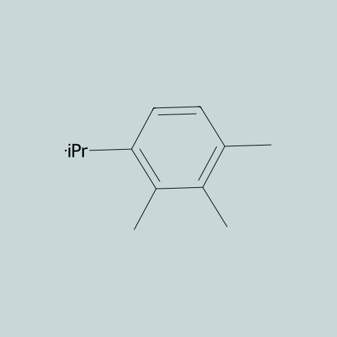 C[C](C)c1ccc(C)c(C)c1C